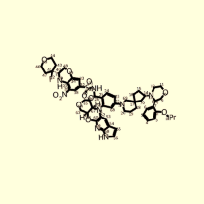 CC(C)Oc1ccccc1[C@@H]1COCCN1[C@@H]1CCC2(CCCN(c3ccc(C(=O)NS(=O)(=O)c4cc5c(c([N+](=O)[O-])c4)N[C@H](C4(F)CCOCC4)CO5)c(N4c5cc6cc[nH]c6nc5O[C@H]5COCC[C@@H]54)c3)C2)C1